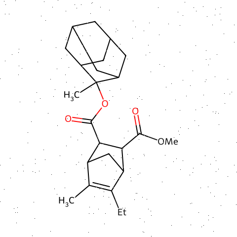 CCC1=C(C)C2CC1C(C(=O)OC)C2C(=O)OC1(C)C2CC3CC(C2)CC1C3